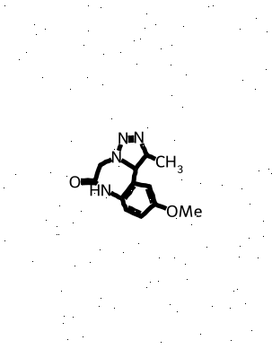 COc1ccc2c(c1)C1C(C)N=NN1CC(=O)N2